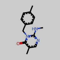 CNc1ncc(C)c(=O)n1Cc1ccc(C)cc1